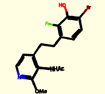 COc1nccc(CCc2ccc(Br)c(O)c2F)c1NC(C)=O